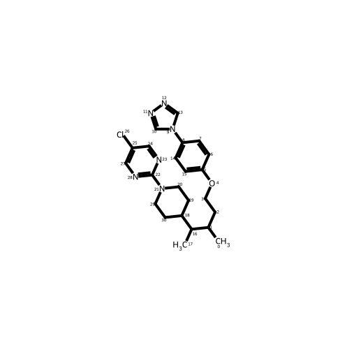 CC(CCOc1ccc(-n2cnnc2)cc1)C(C)C1CCN(c2ncc(Cl)cn2)CC1